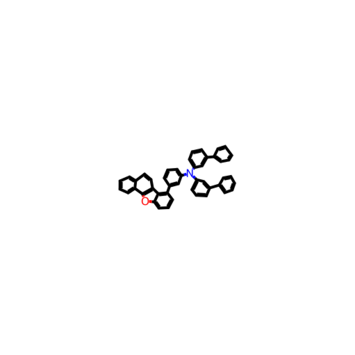 c1ccc(-c2cccc(N(c3cccc(-c4ccccc4)c3)c3cccc(-c4cccc5oc6c7ccccc7ccc6c45)c3)c2)cc1